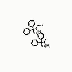 CC(C)CC(N)C(N)(c1ccccc1)c1ccccc1.CC(N)C(N)(c1ccccc1)c1ccccc1